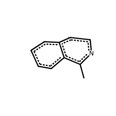 Cc1nc[c]c2ccccc12